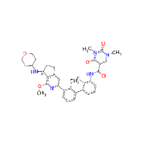 COc1nc(-c2cccc(-c3cccc(NC(=O)c4cn(C)c(=O)n(C)c4=O)c3F)c2C)cc2c1[C@@H](NC1CCOCC1)CC2